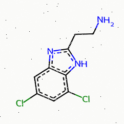 NCCc1nc2cc(Cl)cc(Cl)c2[nH]1